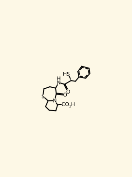 O=C(O)C1CCCC2SCCC(NC(=O)[C@@H](S)Cc3ccccc3)C(=O)N21